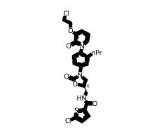 CCCc1cc(N2C[C@H](CNC(=O)c3ccc(Cl)s3)OC2=O)ccc1-n1cccc(OCCCl)c1=O